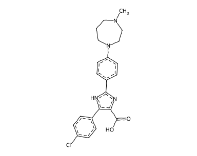 CN1CCCN(c2ccc(-c3nc(C(=O)O)c(-c4ccc(Cl)cc4)[nH]3)cc2)CC1